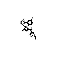 CCn1cc(C(=O)c2cc(C)nn2-c2ccc(F)cc2C2OCCO2)cn1